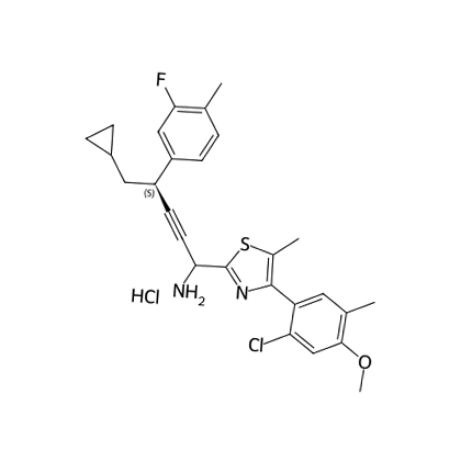 COc1cc(Cl)c(-c2nc(C(N)C#C[C@@H](CC3CC3)c3ccc(C)c(F)c3)sc2C)cc1C.Cl